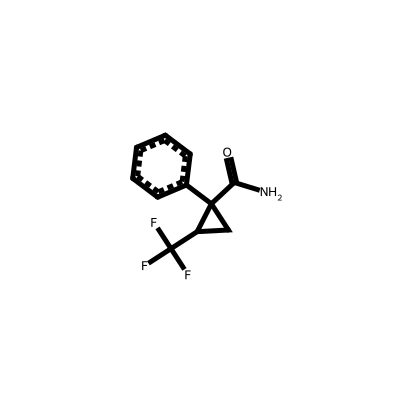 NC(=O)C1(c2ccccc2)CC1C(F)(F)F